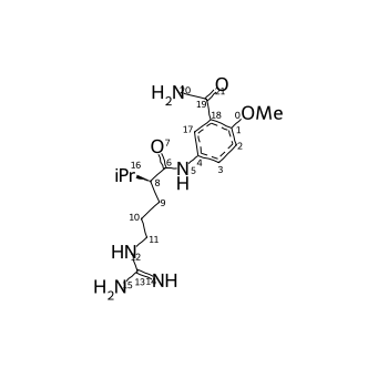 COc1ccc(NC(=O)[C@@H](CCCNC(=N)N)C(C)C)cc1C(N)=O